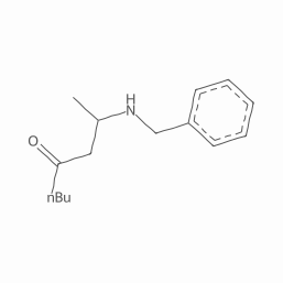 CCCCC(=O)CC(C)NCc1ccccc1